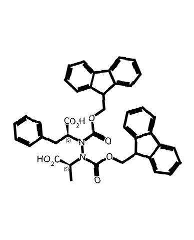 C[C@@H](C(=O)O)N(C(=O)OCC1c2ccccc2-c2ccccc21)N(C(=O)OCC1c2ccccc2-c2ccccc21)[C@@H](Cc1ccccc1)C(=O)O